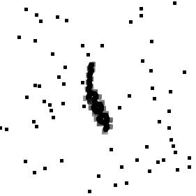 CCCCCCCCC1CCC(c2ccc(-c3ccc(CC)cc3)cc2)OC1